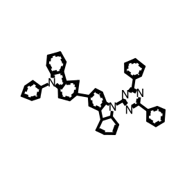 C1=CC2c3cc(-c4ccc5c(c4)c4ccccc4n5-c4ccccc4)ccc3N(c3nc(-c4ccccc4)nc(-c4ccccc4)n3)C2C=C1